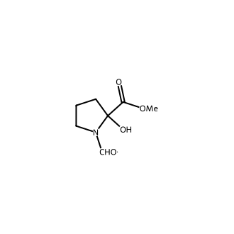 COC(=O)C1(O)CCCN1[C]=O